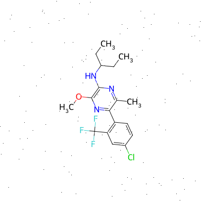 CCC(CC)Nc1nc(C)c(-c2ccc(Cl)cc2C(F)(F)F)nc1OC